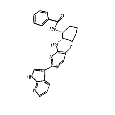 O=C(N[C@@H]1CCCC[C@@H]1Nc1nc(-c2c[nH]c3ncccc23)ncc1F)c1ccccc1